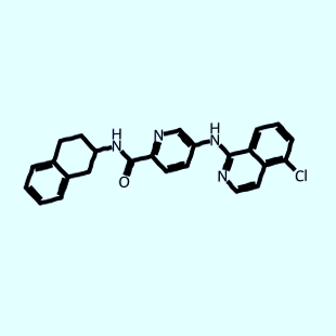 O=C(NC1CCc2ccccc2C1)c1ccc(Nc2nccc3c(Cl)cccc23)cn1